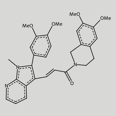 COc1ccc(-c2c(C=CC(=O)N3CCc4cc(OC)c(OC)cc4C3)c3cccnc3n2C)cc1OC